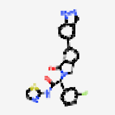 O=C(Nc1nccs1)C(c1cccc(F)c1)N1Cc2ccc(-c3ccc4[nH]ncc4c3)cc2C1=O